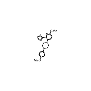 COc1ccc(N2CCN(c3ccc(OC)nc3-c3cccs3)CC2)cc1